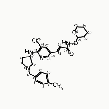 Cc1ccc(CN2CC[C@@H](Nc3ncc(/C=C/C(=O)NOC4CCCCO4)cc3Cl)C2)cc1